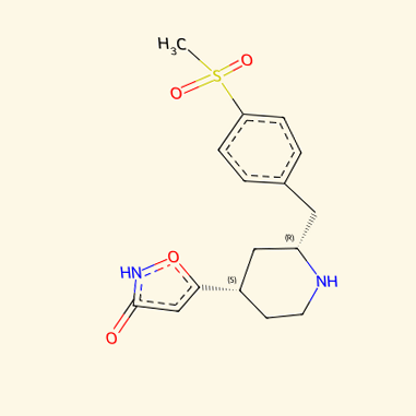 CS(=O)(=O)c1ccc(C[C@H]2C[C@@H](c3cc(=O)[nH]o3)CCN2)cc1